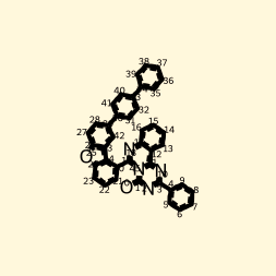 O=c1nc(-c2ccccc2)nc2c3ccccc3nc(-c3cccc4oc5ccc(-c6ccc(-c7ccccc7)cc6)cc5c34)n12